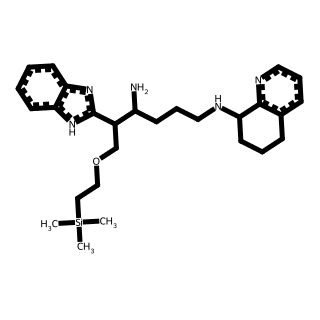 C[Si](C)(C)CCOCC(c1nc2ccccc2[nH]1)C(N)CCCNC1CCCc2cccnc21